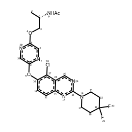 CC(=O)N[C@@H](C)COc1cnc(Oc2ccc3nc(N4CCC(F)(F)CC4)ncc3c2Cl)cn1